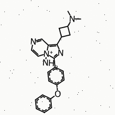 CN(C)C1CC(C2=C3C=NC=C[N+]3(N)C(c3ccc(Oc4ccccc4)cc3)=N2)C1